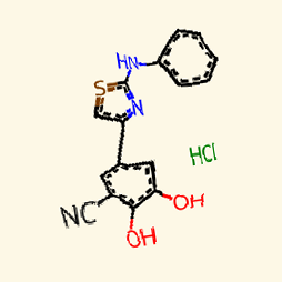 Cl.N#Cc1cc(-c2csc(Nc3ccccc3)n2)cc(O)c1O